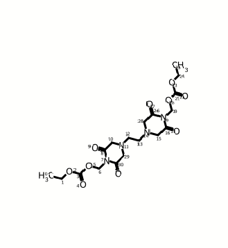 CCOC(=O)OCN1C(=O)CN(CCN2CC(=O)N(COC(=O)OCC)C(=O)C2)CC1=O